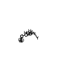 CC(C)CCC[C@@H](C)[C@H]1CC[C@H]2[C@]3(C)CC[C@H]4CC(c5cccc(B6OC(C)(C)C(C)(C)O6)c5)CC[C@]4(C)[C@H]3CC[C@@]21C